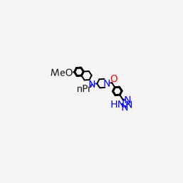 CCCN(C1CCN(C(=O)c2ccc(-c3nnn[nH]3)cc2)CC1)C1CCc2ccc(OC)cc2C1